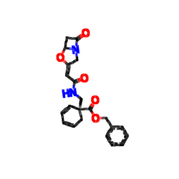 O=C(/C=C1\CN2C(=O)CC2O1)NC[C@]1(C(=O)OCc2ccccc2)C=CC=CC1